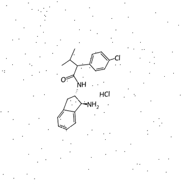 CC(C)C(C(=O)N[C@H]1Cc2ccccc2[C@@H]1N)c1ccc(Cl)cc1.Cl